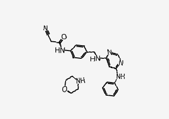 C1COCCN1.N#CCC(=O)Nc1ccc(CNc2cc(Nc3ccccc3)ncn2)cc1